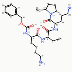 CC(C)CC(NC(=O)C(CCCCN)NC(=O)OCc1ccccc1)C(=O)NC(CCCN)C(=O)N1CCCC1C#N